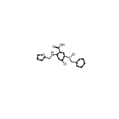 O=C(O)c1cc([S+]([O-])Cc2ccccc2)c(Cl)cc1NCc1ccco1